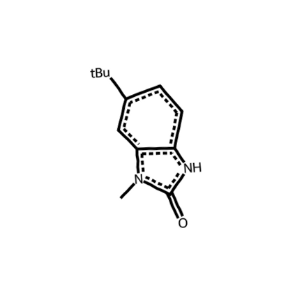 Cn1c(=O)[nH]c2ccc(C(C)(C)C)cc21